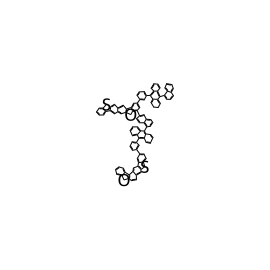 C1=c2c(-c3cccc(-c4cc(-c5ccc6c(-c7c8ccccc8c(-c8cccc(-c9ccc%10sc%11cc%12ccc%13oc%14ccccc%14c%13c%12cc%11c%10c9)c8)c8ccccc78)cccc6c5)c5oc6cc7cc8c(cc7cc6c5c4)sc4ccccc48)c3)c3ccccc3c(-c3cccc4ccccc34)c2=CCC1